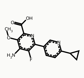 COc1c(C(=O)O)nc(-c2ccc(C3CC3)nc2)c(F)c1N